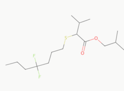 CCCC(F)(F)CCCSC(C(=O)OCC(C)C)C(C)C